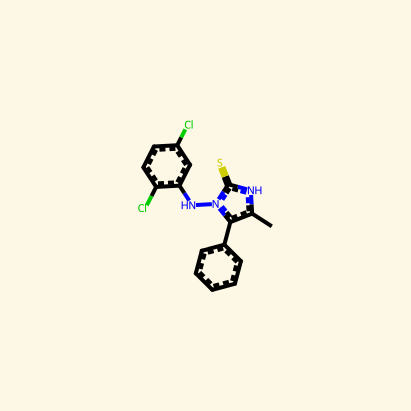 Cc1[nH]c(=S)n(Nc2cc(Cl)ccc2Cl)c1-c1ccccc1